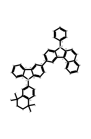 CC1(C)CCC(C)(C)c2cc(-n3c4ccccc4c4cc(-c5ccc6c(c5)c5c7ccccc7ccc5n6-c5ccccc5)ccc43)ccc21